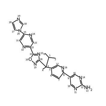 CC(C)C(C)(c1ccc(-c2cnc(N)nc2)nc1)c1noc(-c2cnc(-n3ccnc3)cn2)n1